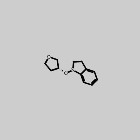 c1ccc2c(c1)CCN2O[C@@H]1CCOC1